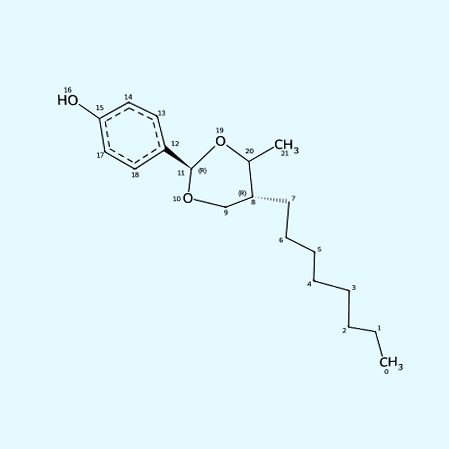 CCCCCCCC[C@@H]1CO[C@@H](c2ccc(O)cc2)OC1C